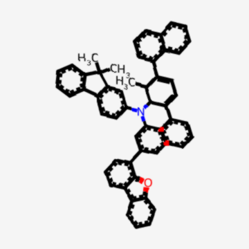 CC1C(c2cccc3ccccc23)=CC=C(c2ccccc2)C1N(c1cccc(-c2cccc3c2oc2ccccc23)c1)c1ccc2c(c1)C(C)(C)c1ccccc1-2